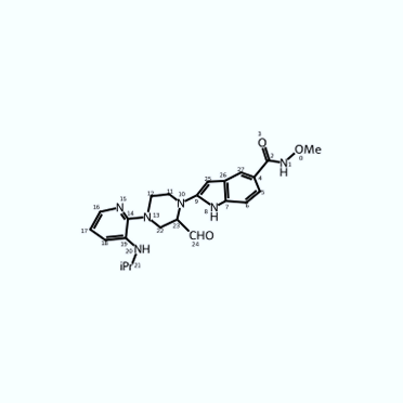 CONC(=O)c1ccc2[nH]c(N3CCN(c4ncccc4NC(C)C)CC3C=O)cc2c1